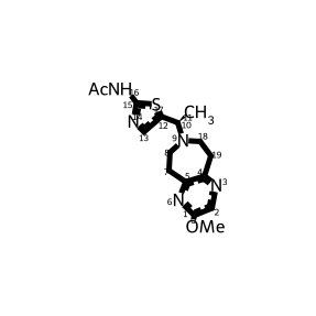 COc1cnc2c(n1)CCN([C@@H](C)c1cnc(NC(C)=O)s1)CC2